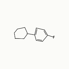 Fc1ccc([C]2CCCCC2)cc1